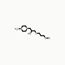 CCOCCCOCC(O)CN1CCN(C)CC1